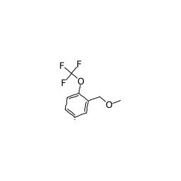 COCc1c[c]ccc1OC(F)(F)F